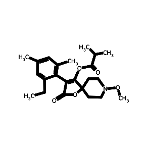 CCc1cc(C)cc(C)c1C1=C(OC(=O)C(C)C)C2(CCN(OC)CC2)OC1=O